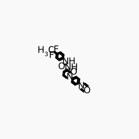 CC(F)(F)c1ccc(NC(=O)N[C@@H]2CCCN(c3ccc(N4CCOCC4)cc3)C2=O)cc1